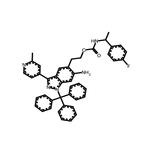 Cc1cc(-c2nn(C(c3ccccc3)(c3ccccc3)c3ccccc3)c3cc(N)c(CCOC(=O)NC(C)c4ccc(F)cc4)cc23)ccn1